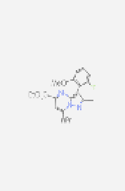 CCCc1cc(C(=O)OCC)nc2c(-c3c(F)cccc3OC)c(C)nn12